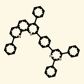 c1ccc(-c2cc(-c3ccc(-c4cc(-c5ccccc5)c5ccc6ccc(-c7ccccc7)nc6c5n4)cc3)nc(-c3ccccc3)n2)cc1